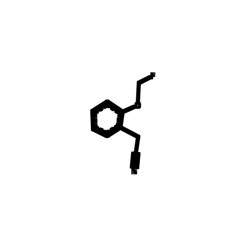 N#CCc1ccccc1OCF